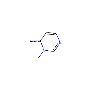 C=C1C=CN=CN1C